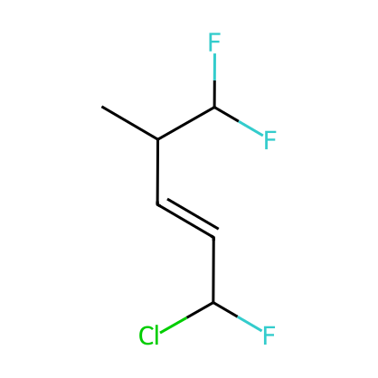 CC(C=CC(F)Cl)C(F)F